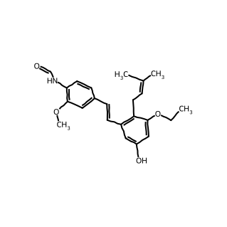 CCOc1cc(O)cc(C=Cc2ccc(NC=O)c(OC)c2)c1CC=C(C)C